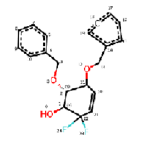 O[C@H]1[C@H](OCc2ccccc2)C(OCc2ccccc2)C=CC1(F)F